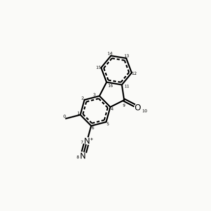 Cc1cc2c(cc1[N+]#N)C(=O)c1ccccc1-2